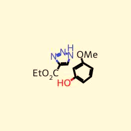 CCOC(=O)c1c[nH]nn1.COc1cccc(O)c1